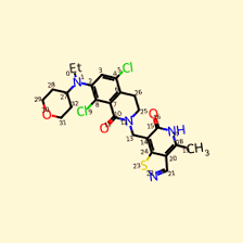 CCN(c1cc(Cl)c2c(c1Cl)C(=O)N(Cc1c(=O)[nH]c(C)c3cnsc13)CC2)C1CCOCC1